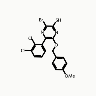 COc1ccc(COc2nc(S)c(Br)nc2-c2cccc(Cl)c2Cl)cc1